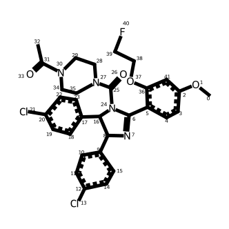 COc1ccc(C2=NC(c3ccc(Cl)cc3)C(c3ccc(Cl)cc3)N2C(=O)N2CCN(C(C)=O)CC2)c(OCCF)c1